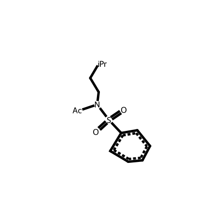 CC(=O)N(CCC(C)C)S(=O)(=O)c1ccccc1